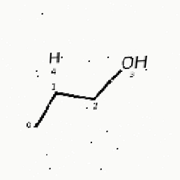 CCCO.[H]